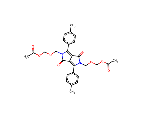 CC(=O)OCOCN1C(=O)C2=C(c3ccc(C)cc3)N(COCOC(C)=O)C(=O)C2=C1c1ccc(C)cc1